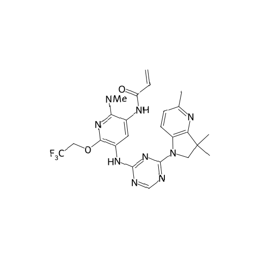 C=CC(=O)Nc1cc(Nc2ncnc(N3CC(C)(C)c4nc(C)ccc43)n2)c(OCC(F)(F)F)nc1NC